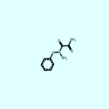 NC(=O)C(=O)N(N)Oc1ccccc1